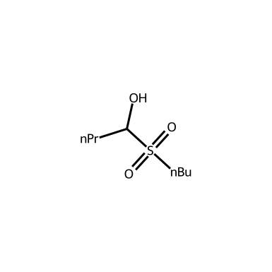 CCCCS(=O)(=O)C(O)CCC